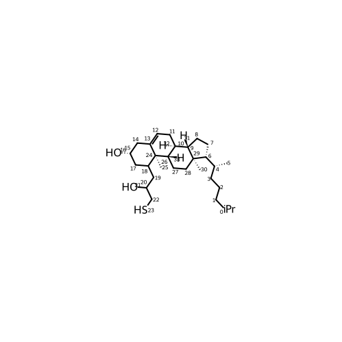 CC(C)CCC[C@@H](C)[C@H]1CC[C@H]2[C@@H]3CC=C4C[C@@H](O)CC(CC(O)CS)[C@]4(C)[C@H]3CC[C@]12C